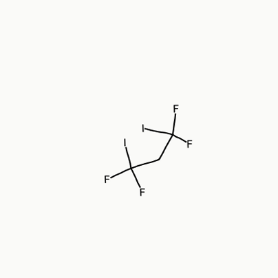 FC(F)(I)CC(F)(F)I